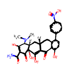 CN(C)[C@@H]1C(O)=C(C(N)=O)C(=O)[C@@]2(O)C(O)=C3C(=O)c4c(O)ccc(-c5ccc([N+](=O)O)cc5)c4C[C@H]3C[C@@H]12